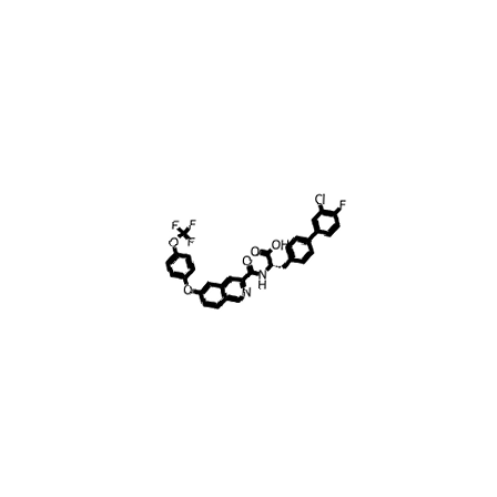 O=C(N[C@@H](Cc1ccc(-c2ccc(F)c(Cl)c2)cc1)C(=O)O)c1cc2cc(Oc3ccc(OC(F)(F)F)cc3)ccc2cn1